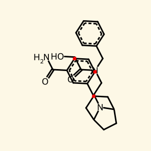 NC(=O)c1cccc(C2CC3CCC(C2)N3CCN(Cc2ccccc2)C(=O)CO)c1